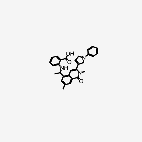 Cc1cc(C(C)Nc2ccccc2C(=O)O)c2cc(C3=CCN(c4ccccc4)C3)n(C)c(=O)c2c1